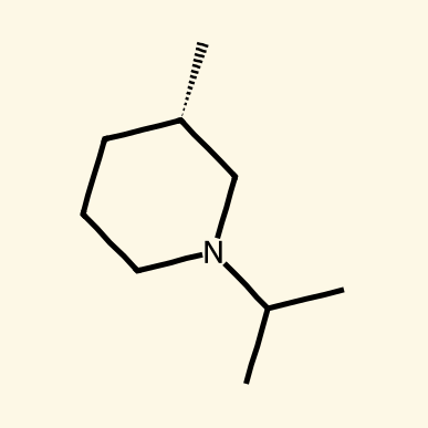 CC(C)N1CCC[C@H](C)C1